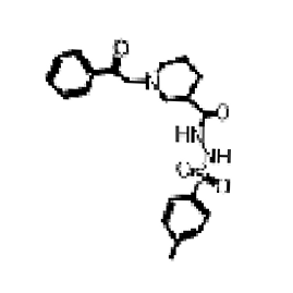 Cc1ccc(S(=O)(=O)NNC(=O)C2CCCN(CC(=O)c3ccccc3)C2)cc1